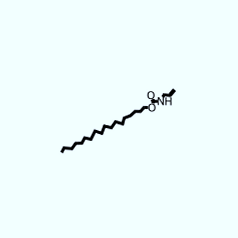 C=CCNC(=O)OCCCCCCCCCCCCCCCCCC